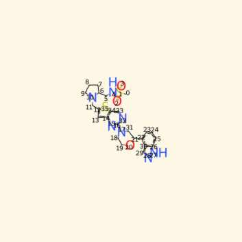 CS(=O)(=O)NCC1CCCN1Cc1cc2nc(N3CCOC(c4cccc5[nH]ncc45)C3)ncc2s1